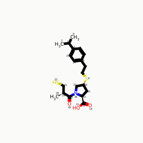 CC(C)c1ccc(CCS[C@H]2C[C@@H](C(=O)O)N(C(=O)[C@H](C)CS)C2)cc1